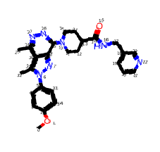 COc1ccc(-n2nc3c(N4CCC(C(=O)NCc5cccnc5)CC4)nnc(C)c3c2C)cc1